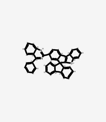 c1ccc(-c2nc(-c3ccc4c(c3)C3(c5ccccc5-c5ccccc53)c3sc5ccccc5c3-4)nc3ccccc23)cc1